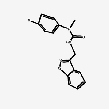 CN(C(=O)NCc1noc2ccccc12)c1ccc(F)cc1